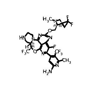 Cc1nc(N)cc(-c2nc3c4c(nc(OC[C@H]5N(C)C[C@@]56CC6(F)F)nc4c2F)N2CCNC[C@H]2[C@H](C(F)(F)F)O3)c1C(F)(F)F